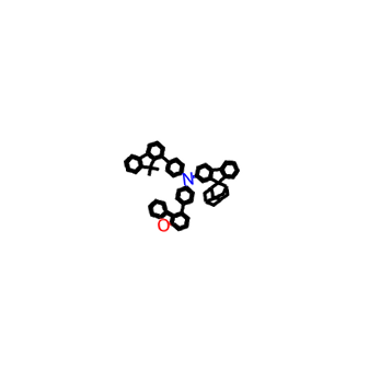 CC1(C)c2ccccc2-c2cccc(-c3ccc(N(c4ccc(-c5cccc6oc7ccccc7c56)cc4)c4ccc5c(c4)C4(c6ccccc6-5)C5CC6CC(C5)CC4C6)cc3)c21